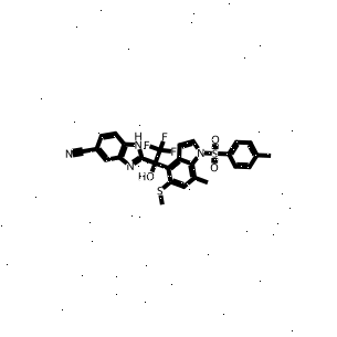 CSc1cc(C)c2c(ccn2S(=O)(=O)c2ccc(C)cc2)c1C(O)(c1nc2cc(C#N)ccc2[nH]1)C(F)(F)F